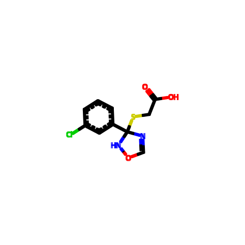 O=C(O)CSC1(c2cccc(Cl)c2)N=CON1